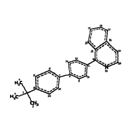 CC(C)(C)c1ccc(-c2ccc(-c3nccc4ccccc34)cc2)cc1